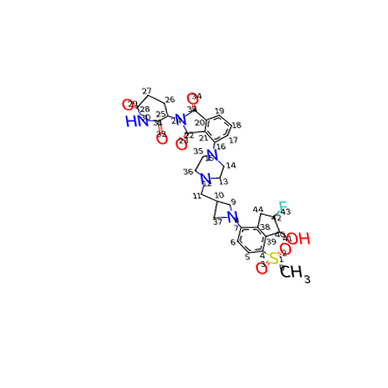 CS(=O)(=O)c1ccc(N2CC(CN3CCN(c4cccc5c4C(=O)N(C4CCC(=O)NC4=O)C5=O)CC3)C2)c2c1[C@H](O)[C@H](F)C2